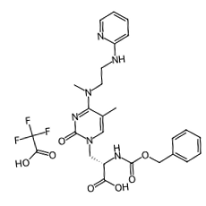 Cc1cn(C[C@H](NC(=O)OCc2ccccc2)C(=O)O)c(=O)nc1N(C)CCNc1ccccn1.O=C(O)C(F)(F)F